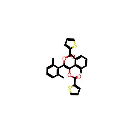 Cc1cccc(C)c1C(OC(=O)c1cccs1)=C(OC(=O)c1cccs1)c1c(C)cccc1C